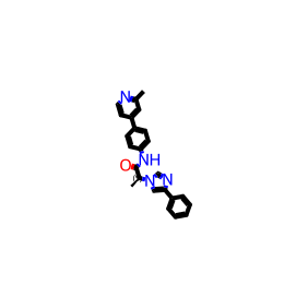 Cc1cc(-c2ccc(NC(=O)[C@H](C)n3cnc(-c4ccccc4)c3)cc2)ccn1